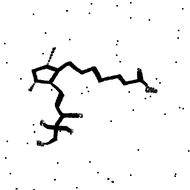 CC[C@H](C)CC(F)(F)C(=O)/C=C/[C@@H]1C(CCCCCCC(=O)OC)[C@@H](C)C[C@H]1C